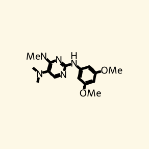 CNc1nc(Nc2cc(OC)cc(OC)c2)ncc1N(C)C